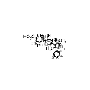 CCC(=C(C)C(=O)O)[C@H](C(C)C)N(C)C(=O)[C@@H](NC(=O)C(C(C)(C)c1ccccc1)S(C)(=O)=O)C(C)(C)C